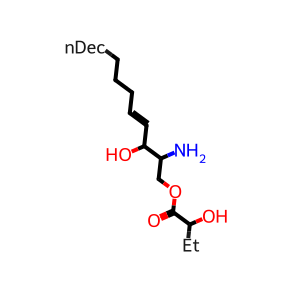 CCCCCCCCCCCCCC=CC(O)C(N)COC(=O)C(O)CC